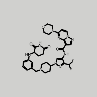 O=C1CCC(Nc2cccc(CN3CCC(n4cc(NC(=O)c5cnn6ccc(N7CCOCC7)nc56)c(C(F)F)n4)CC3)c2)C(=O)N1